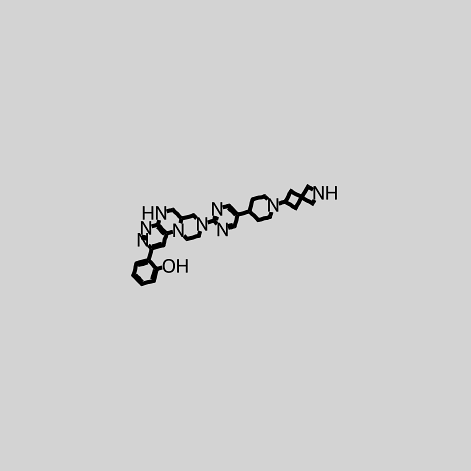 Oc1ccccc1-c1cc2c(nn1)NCC1CN(c3ncc(C4CCN(C5CC6(CNC6)C5)CC4)cn3)CCN21